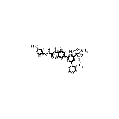 C[C@H]1COCCN1c1cc(C(C)(C)S(C)(=O)=O)nc(-c2cc(F)c(NC(=O)NCc3cnn(C)c3)c(F)c2)n1